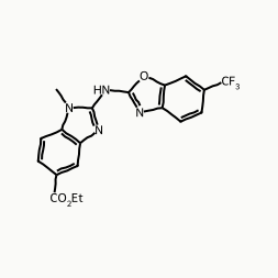 CCOC(=O)c1ccc2c(c1)nc(Nc1nc3ccc(C(F)(F)F)cc3o1)n2C